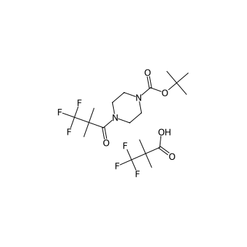 CC(C)(C(=O)O)C(F)(F)F.CC(C)(C)OC(=O)N1CCN(C(=O)C(C)(C)C(F)(F)F)CC1